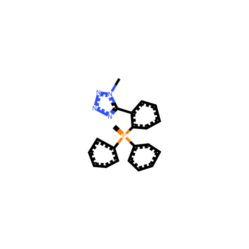 C=P(c1ccccc1)(c1ccccc1)c1ccccc1-c1nnnn1C